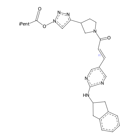 CCCC(C)C(=O)On1cc(C2CCN(C(=O)/C=C/c3cnc(NC4Cc5ccccc5C4)nc3)C2)nn1